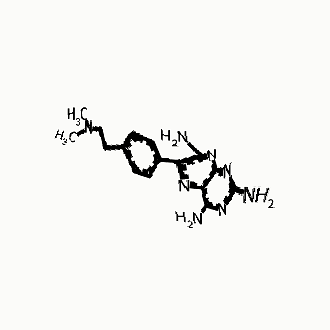 CN(C)CCc1ccc(-c2nc3c(N)nc(N)nc3nc2N)cc1